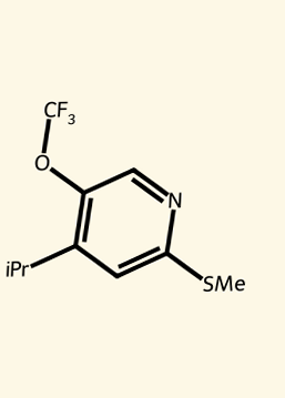 CSc1cc(C(C)C)c(OC(F)(F)F)cn1